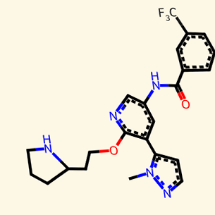 Cn1nccc1-c1cc(NC(=O)c2cccc(C(F)(F)F)c2)cnc1OCCC1CCCN1